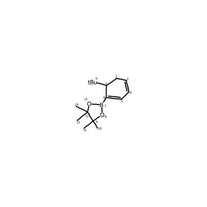 CC(C)(C)C1CC=CC=C1B1OC(C)(C)C(C)(C)O1